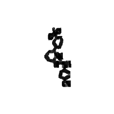 CS(=O)(=O)c1cccc(-c2cccc3nc(Nc4ccc(C#N)cc4)nn23)c1